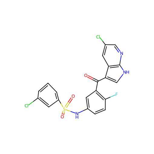 O=C(c1cc(NS(=O)(=O)c2cccc(Cl)c2)ccc1F)c1c[nH]c2ncc(Cl)cc12